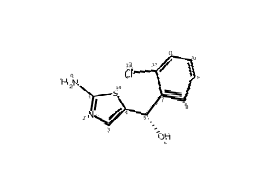 Nc1ncc([C@@H](O)c2ccccc2Cl)s1